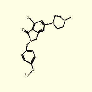 CN1CCN(c2cc(Cl)c3c(c2)CN(Cc2ccc(OC(F)(F)F)cc2)C3=O)CC1